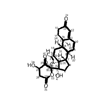 CC[C@]1([C@]2(O)CC[C@H]3[C@@H]4C=CC5=CC(=O)CC[C@@H]5[C@H]4CC[C@@]32C)OC(=O)CC(O)C1=O